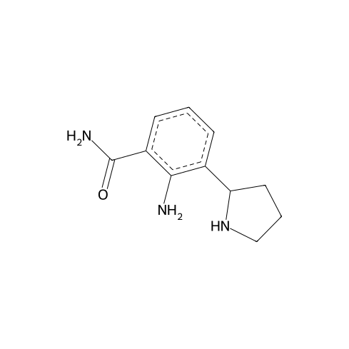 NC(=O)c1cccc(C2CCCN2)c1N